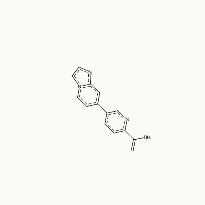 C=C(O)c1ccc(-c2ccn3ccnc3c2)cn1